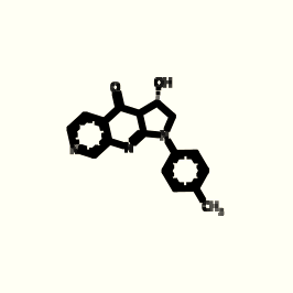 Cc1ccc(N2C[C@@H](O)C3C(=O)c4ccncc4N=C32)cc1